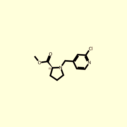 COC(=O)[C@@H]1CCCN1Cc1ccnc(Cl)c1